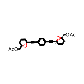 CC(=O)OCC1[CH]C=CC(C#Cc2ccc(C#C[C@@H]3C=C[CH][C@H](COC(C)=O)O3)cc2)O1